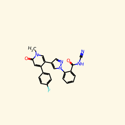 Cn1cc(-c2cnn(-c3ccccc3C(=O)NC#N)c2)c(-c2ccc(F)cc2)cc1=O